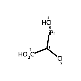 CC(C)C(Cl)C(=O)O.Cl